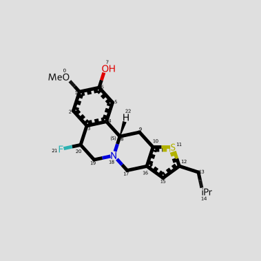 COc1cc2c(cc1O)[C@@H]1Cc3sc(CC(C)C)cc3CN1CC2F